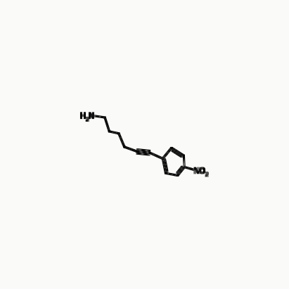 NCCCCC#Cc1ccc([N+](=O)[O-])cc1